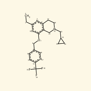 CCc1nc2c(c(OCc3ccc(C(F)(F)F)nc3)n1)CN(CC1CC1)CC2